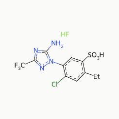 CCc1cc(Cl)c(-n2nc(C(F)(F)F)nc2N)cc1S(=O)(=O)O.F